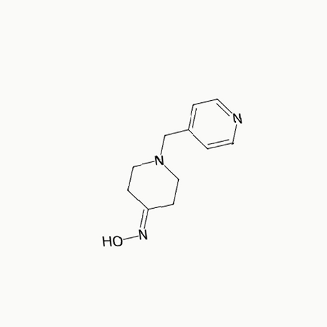 ON=C1CCN(Cc2ccncc2)CC1